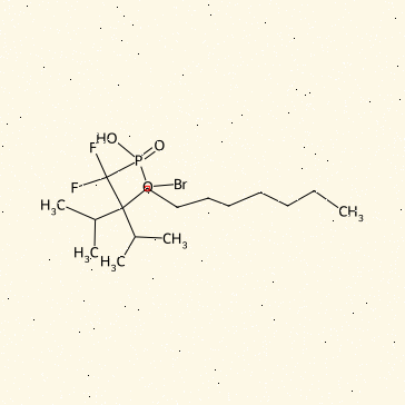 CCCCCCCCC(C(C)C)(C(C)C)C(F)(F)P(=O)(O)OBr